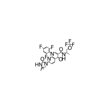 CC(COC(F)(F)F)NC(=O)c1cn(-c2c(F)cc(F)cc2F)c2nc(N3C[C@@H](C)NC3=O)ccc2c1=O